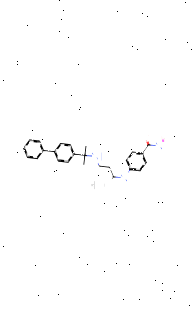 CC(C)(NCCC(C=O)Nc1ccc(C(=O)NO)cc1)c1ccc(-c2ccccc2)cc1